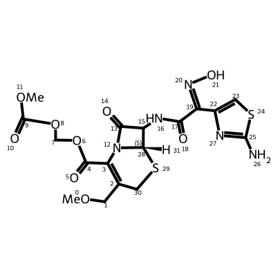 COCC1=C(C(=O)OCOC(=O)OC)N2C(=O)C(NC(=O)C(=NO)c3csc(N)n3)[C@@H]2SC1